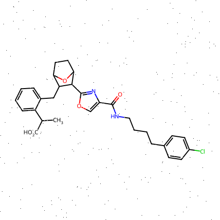 CC(C(=O)O)c1ccccc1CC1C2CCC(O2)C1c1nc(C(=O)NCCCCc2ccc(Cl)cc2)co1